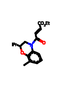 CCOC(=O)C=CC(=O)N1CC(C(C)C)Oc2c(C)cccc21